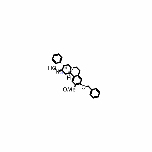 COc1cc2c(cc1OCc1ccccc1)CCN1C[C@@H](c3ccccc3)/C(=N\O)C[C@H]21